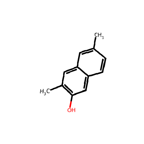 Cc1ccc2cc(O)c(C)cc2c1